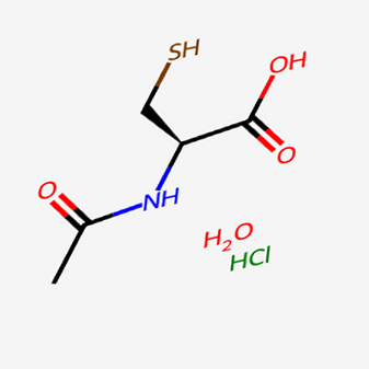 CC(=O)N[C@@H](CS)C(=O)O.Cl.O